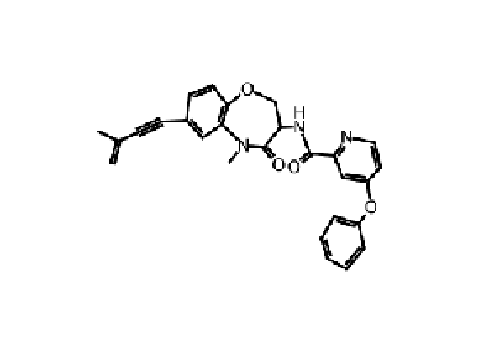 C=C(C)C#Cc1ccc2c(c1)N(C)C(=O)C(NC(=O)c1cc(Oc3ccccc3)ccn1)CO2